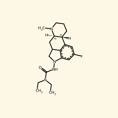 CCN(CC)C(=O)NN1CC2C[C@@H]3[C@H](CCCN3C)c3cc(I)cc1c32